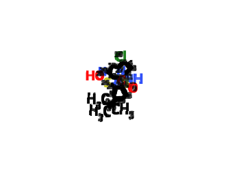 CC(C)(C)c1ccc(S(=O)(=O)Nc2ccc(Cl)c(C/C(=N/O)c3cncs3)n2)cc1